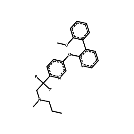 CCCN(C)CC(F)(F)c1ccc(Oc2ncccc2-c2ccccc2OC)cn1